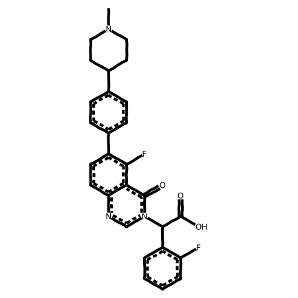 CN1CCC(c2ccc(-c3ccc4ncn(C(C(=O)O)c5ccccc5F)c(=O)c4c3F)cc2)CC1